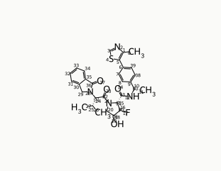 Cc1ncsc1-c1ccc([C@H](C)NC(=O)[C@@H]2[C@@H](F)[C@@H](O)CN2C(=O)[C@H](C(C)C)N2Cc3ccccc3C2=O)cc1